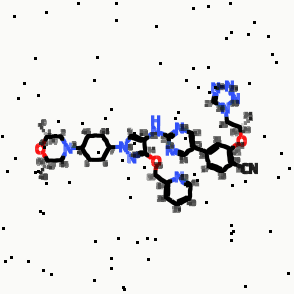 C[C@@H]1CN(C2CCC(n3cc(Nc4ncc(-c5ccc(C#N)c(O[C@@H](C)Cn6cnnn6)c5)cn4)c(OCc4ccccn4)n3)CC2)C[C@H](C)O1